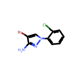 Nc1nn(-c2ccccc2Cl)cc1Br